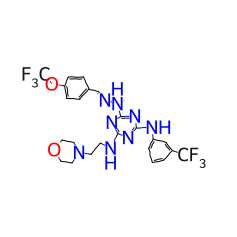 FC(F)(F)Oc1ccc(/C=N/Nc2nc(NCCN3CCOCC3)nc(Nc3cccc(C(F)(F)F)c3)n2)cc1